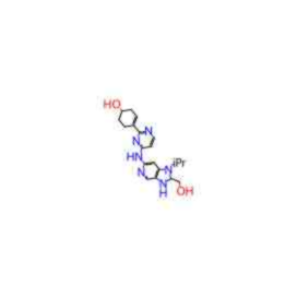 CC(C)N1c2cc(Nc3ccnc(C4=CCC(O)CC4)n3)ncc2NC1CO